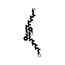 CC(CCCCl)CC(C)CC(C)CC(C)CC(C)CC(C)CCCC(OCc1ccccc1)OC(CCCC(C)CC(C)CC(C)CC(C)CC(C)CC(C)CCCCl)OCc1ccccc1